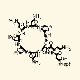 CCCCCCC[C@@H](O)CC(=O)N[C@H](CCN)C(=O)N[C@H]1CCNC(=O)[C@H](CC(C)C)NC(=O)[C@H](CCN)NC(=O)[C@H](CCN)NC(=O)[C@H](CC(C)C)NC(=O)[C@@H](CC(C)C)NC(=O)[C@H](CCN)NC1=O